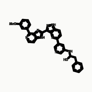 COc1cccc(-c2nccc3[nH]c(-c4n[nH]c5ccc(-c6cncc(NC(O)Cc7ccccc7)c6)nc45)nc23)c1